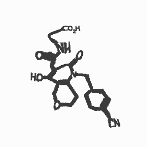 N#Cc1ccc(Cn2c3c(c(O)c(C(=O)NCC(=O)O)c2=O)COCC3)cc1